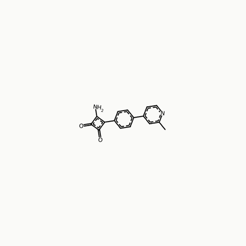 Cc1cc(-c2ccc(-c3c(N)c(=O)c3=O)cc2)ccn1